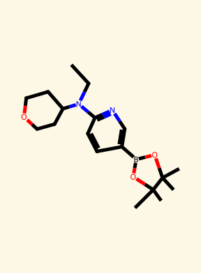 CCN(c1ccc(B2OC(C)(C)C(C)(C)O2)cn1)C1CCOCC1